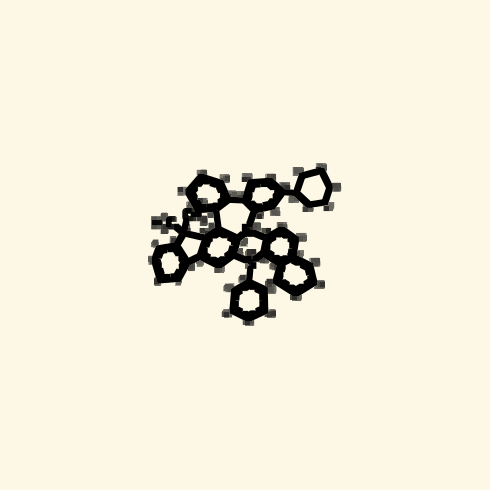 CC1(C)c2ccccc2-c2cc3c4c(c21)-c1ccccc1-c1ccc(C2CCCCC2)cc1N4c1ccc2ccccc2c1N3c1ccccc1